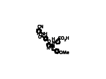 COc1ccc(Cn2nc(NC3CCCN(C(=O)O)C3)c3c(Oc4ccc(C(=O)Nc5cc(C#N)ccn5)cc4)ccnc32)cc1